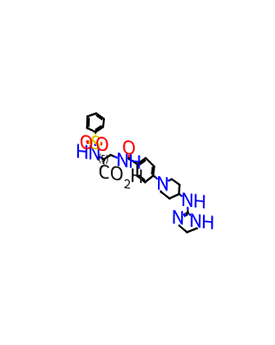 O=C(NC[C@H](NS(=O)(=O)c1ccccc1)C(=O)O)c1ccc(N2CCC(NC3=NCCCN3)CC2)cc1